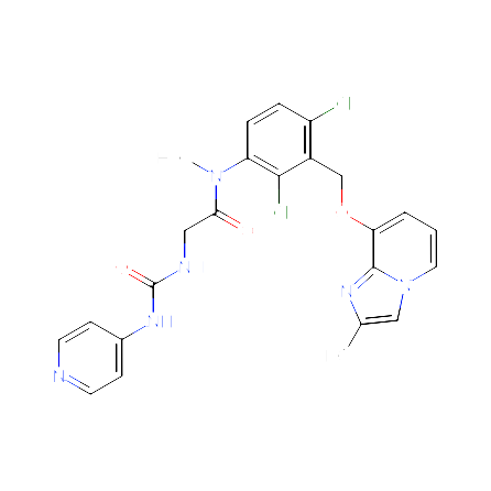 Cc1cn2cccc(OCc3c(Cl)ccc(N(C)C(=O)CNC(=O)Nc4ccncc4)c3Cl)c2n1